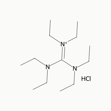 CCN(CC)C(N(CC)CC)=[N+](CC)CC.Cl